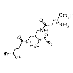 C=C(CCC(=O)NCC(CNC(=O)CC[C@H](N)C(=O)O)N(C)C(=O)C(C)C)C(C)C